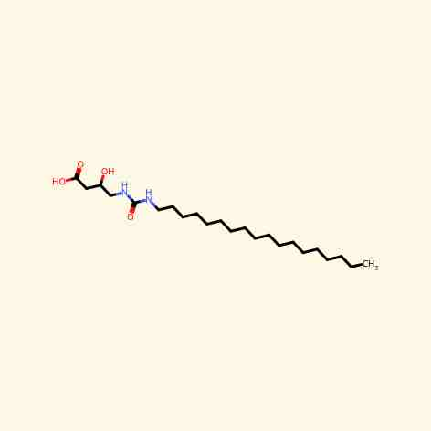 CCCCCCCCCCCCCCCCCCNC(=O)NCC(O)CC(=O)O